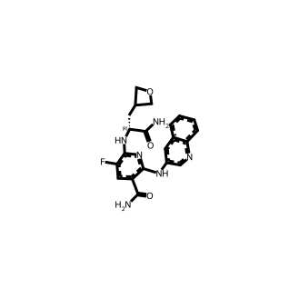 NC(=O)c1cc(F)c(N[C@H](CC2COC2)C(N)=O)nc1Nc1cnc2ccccc2c1